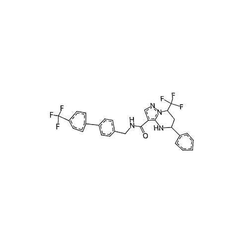 O=C(NCc1ccc(-c2ccc(C(F)(F)F)cc2)cc1)c1cnn2c1NC(c1ccccc1)CC2C(F)(F)F